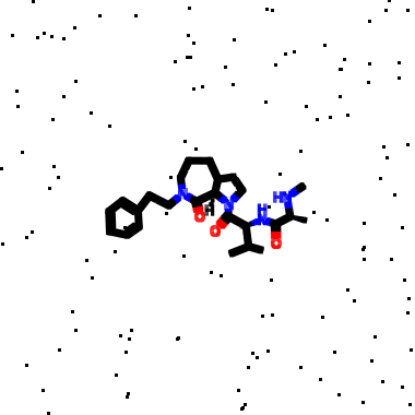 CN[C@@H](C)C(=O)N[C@H](C(=O)N1CCC2CCCN(CCc3ccccc3)C(=O)[C@@H]21)C(C)C